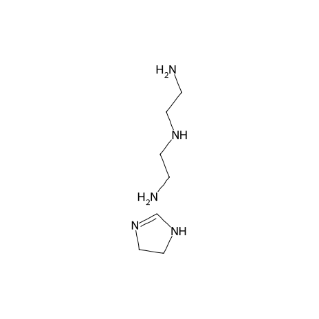 C1=NCCN1.NCCNCCN